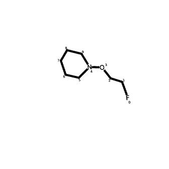 FCCON1CCCCC1